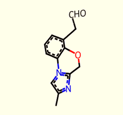 Cc1cn2c(n1)COc1c(CC=O)cccc1-2